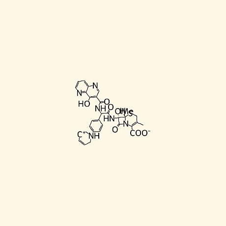 CO[C@@]1(NC(=O)C(NC(=O)c2cnc3cccnc3c2O)c2ccccc2)C(=O)N2C(C(=O)[O-])=C(C)CS[C@H]21.[C+]1=CNCC=C1